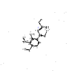 CC/C(N)=N/N(CI)c1ccc(C=O)c(NI)c1O